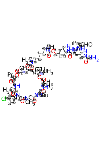 C/C=C(\C)[C@H]1OC(=O)C(C)(C)NC(=O)[C@H]([C@H](C)CC)NC(=O)CN(C)C(=O)[C@@H](Cc2ccc(Cl)cc2)N(C)C(=O)[C@H](C)NC(=O)[C@@H](CC(C)C)OC(=O)/C(C)=C/C[C@H](OC(=O)N(C)CCCCCCN(C)C(=O)OCc2ccc(NC(=O)[C@H](CCCNC(N)=O)NN[C@H](C=O)C(C)C)cc2)[C@@H]1C